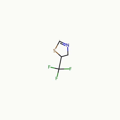 FC(F)(F)C1CN=[C]S1